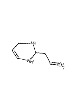 C=CCC1NC=CCN1